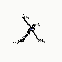 CCCCCCCCCCCCCCCCN1/C(=C2\C(=O)c3ccc(-c4ccc(-c5cc6sc(/C=C/c7cc8sc(-c9ccc(C)s9)cc8s7)cc6s5)s4)cc3N2CCCCCCCCCCCCCCCC)C(=O)c2ccc(C)cc21